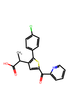 CC(C(=O)O)c1cc(C(=O)c2ccccn2)sc1-c1ccc(Cl)cc1